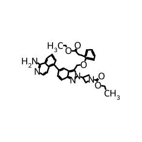 CCOC(=O)Cc1ccccc1OCc1c2cc(-c3cccc4c(N)nccc34)ccc2nn1C1CN(C(=O)OCC)C1